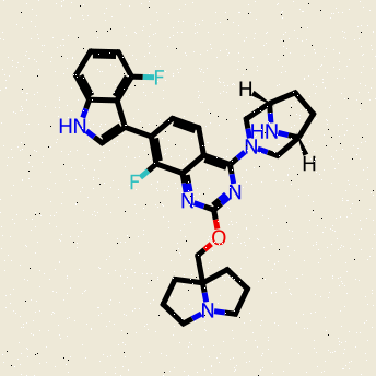 Fc1c(-c2c[nH]c3cccc(F)c23)ccc2c(N3C[C@H]4CC[C@@H](C3)N4)nc(OCC34CCCN3CCC4)nc12